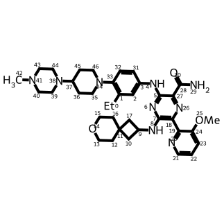 CCc1cc(Nc2nc(NC3CC4(CCOCC4)C3)c(-c3ncccc3OC)nc2C(N)=O)ccc1N1CCC(N2CCN(C)CC2)CC1